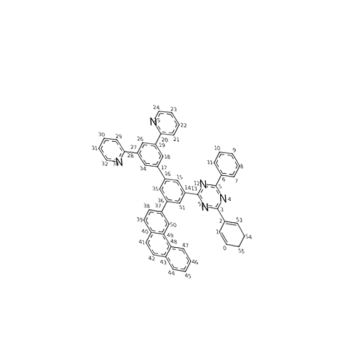 C1=CC(c2nc(-c3ccccc3)nc(-c3cc(-c4cc(-c5ccccn5)cc(-c5ccccn5)c4)cc(-c4ccc5ccc6ccccc6c5c4)c3)n2)=CCC1